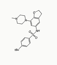 CN1CCN(c2cc(NS(=O)(=O)c3ccc(C(C)(C)C)cc3)cc3c2OCC3)CC1